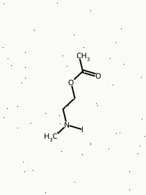 CC(=O)OCCN(C)I